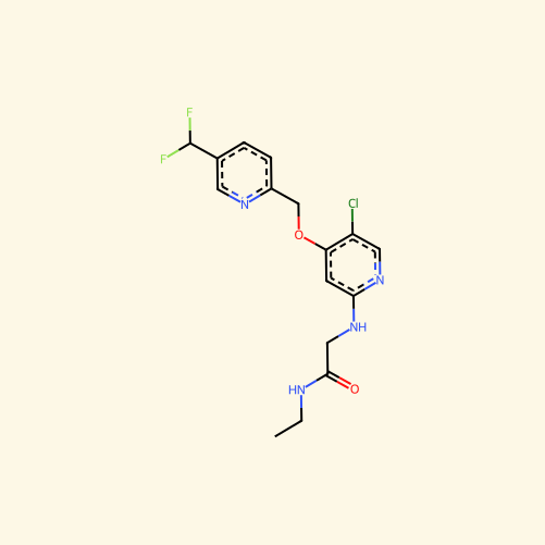 CCNC(=O)CNc1cc(OCc2ccc(C(F)F)cn2)c(Cl)cn1